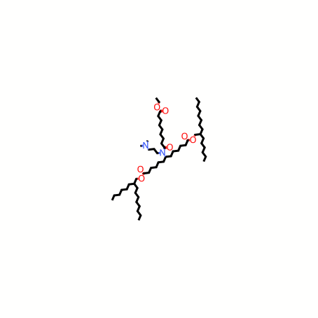 CCCCCCCCC(CCCCCC)COC(=O)CCCCCC(CCCCCC(=O)OCC(CCCCCC)CCCCCCCC)N(CCCN(C)C)C(=O)CCCCCCCC(=O)OCC